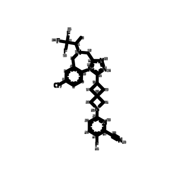 CC(N1Cc2cc(Cl)ccc2-n2c(nnc2C2CC3(C2)CN(c2ccc(F)c(C#N)n2)C3)C1)C(F)(F)F